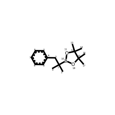 CC(C)(Cc1ccccc1)B1OC(C)(C)C(C)(C)O1